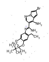 CCc1cc(O[Si](C)(C)C(C)(C)C)c(F)cc1/N=C(\N)c1cnn2cc(Br)cc2c1N